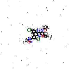 Cc1nc(-c2ccc(-c3nc4c(cc3-c3ccc(Cl)cc3)C(NC(=O)C(C)(C)C)CC(C)(C)O4)c(Cl)c2)no1